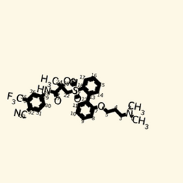 CN(C)CCCOc1ccccc1-c1ccccc1S(=O)(=O)CC(C)(O)C(=O)Nc1ccc(C#N)c(C(F)(F)F)c1